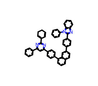 C1=CC(c2nc(-c3ccccc3)cc(-c3ccc(-c4cccc5ccc(-c6ccc(-c7nc8ccccc8n7-c7ccccc7)cc6)cc45)cc3)n2)=CCC1